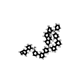 CN(c1cccc(-c2cccc(-c3ccc(N(c4cccc(-c5cccc(-c6ccc(N(c7ccccc7)c7ccccc7)cc6)c5)c4)c4ccc5c(c4)C(C)(C)c4ccccc4-5)cc3)c2)c1)c1cccc(-c2ccc3c(c2)CC3)c1